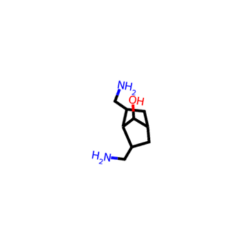 NCC1CC2CC(CN)C1C2O